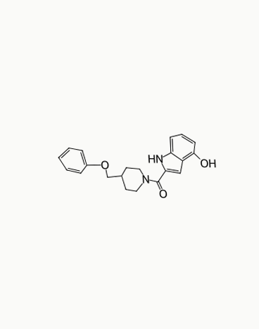 O=C(c1cc2c(O)cccc2[nH]1)N1CCC(COc2ccccc2)CC1